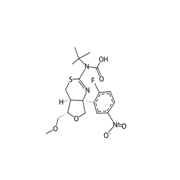 COC[C@H]1OC[C@]2(c3cc([N+](=O)[O-])ccc3F)N=C(N(C(=O)O)C(C)(C)C)SC[C@H]12